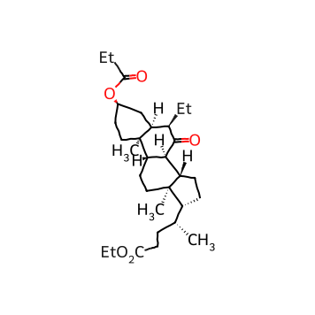 CCOC(=O)CC[C@@H](C)[C@H]1CC[C@H]2[C@@H]3C(=O)[C@H](CC)[C@@H]4C[C@H](OC(=O)CC)CC[C@]4(C)[C@H]3CC[C@]12C